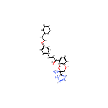 NC1(c2nnn[nH]2)COc2cccc(C(=O)C=Cc3ccc(OCCC4CCCCC4)cc3)c2O1